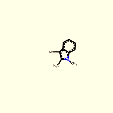 CC(=O)c1c(C)n(C)c2cc[c]cc12